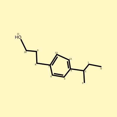 CCC(C)c1ccc(CCCO)cc1